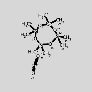 C[Si]1(C)O[Si](C)(C)O[Si](C)(C)O[Si](C)(C)O1.O=[Si]=O